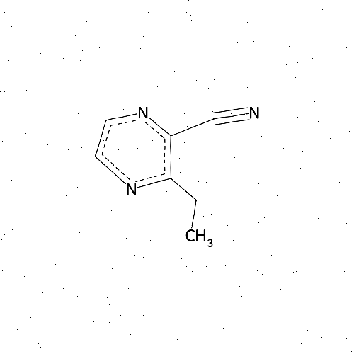 CCc1nccnc1C#N